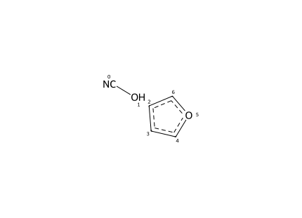 N#CO.c1ccoc1